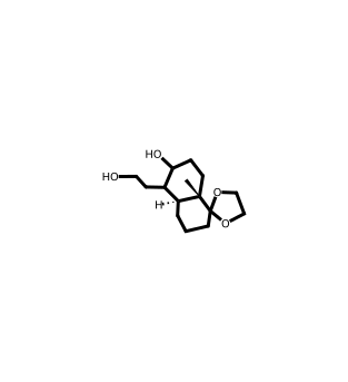 C[C@]12CCC(O)C(CCO)[C@@H]1CCCC21OCCO1